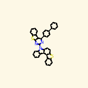 c1ccc(-c2ccc(-c3nc(-n4c5ccccc5c5c6c(ccc54)sc4ccccc46)nc4sc5ccccc5c34)cc2)cc1